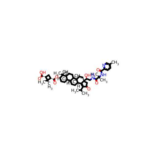 Cc1ccc(C(=O)NC(C)(C)C(=O)NC[C@H](O)[C@@]23CC[C@]4(C)[C@H](CC[C@@H]5[C@@]6(C)CC[C@H](OC(=O)[C@H]7C[C@@H](C(=O)O)C7(C)C)C(C)(C)[C@@H]6CC[C@]54C)C2=C(C(C)C)C(=O)C3)nc1